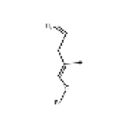 C=CCC(F)=COBr